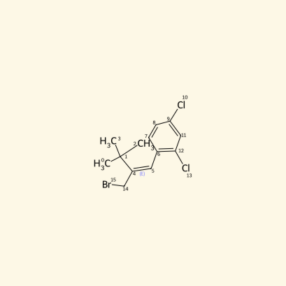 CC(C)(C)/C(=C\c1ccc(Cl)cc1Cl)CBr